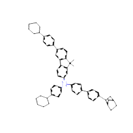 CC1(C)c2ccc(-c3ccc(C4CCCCC4)cc3)cc2-c2ccc(N(c3ccc(-c4ccc(C5CC6CCC5C6)cc4)cc3)c3ccc(C4CCCCC4)cc3)cc21